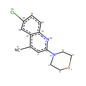 N#Cc1cc(N2CCSCC2)nc2ccc(Cl)cc12